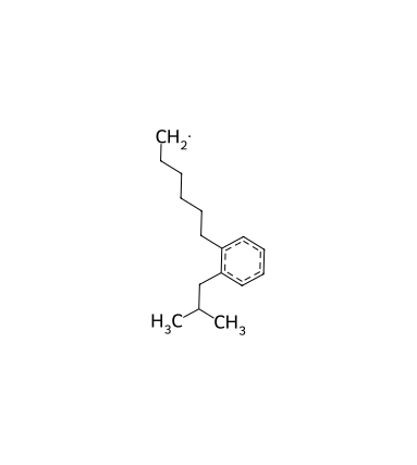 [CH2]CCCCCc1ccccc1CC(C)C